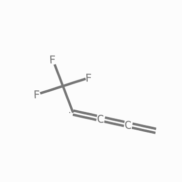 C=C=C=[C]C(F)(F)F